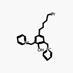 CC(C)CCCCCc1cc(C[n+]2ccccc2)c(O)c(C[n+]2ccccc2)c1